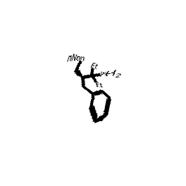 CCCCCCCCCCC(Cc1ccccc1)C(P)(CC)CC